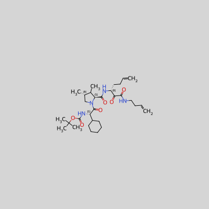 C=CCCNC(=O)C(=O)[C@@H](CCC=C)NC(=O)[C@@H]1C(C)[C@@H](C)CN1C(=O)[C@@H](NC(=O)OC(C)(C)C)C1CCCCC1